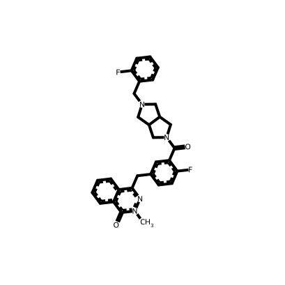 Cn1nc(Cc2ccc(F)c(C(=O)N3CC4CN(Cc5ccccc5F)CC4C3)c2)c2ccccc2c1=O